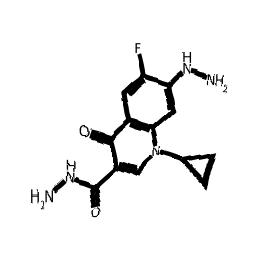 NNC(=O)c1cn(C2CC2)c2cc(NN)c(F)cc2c1=O